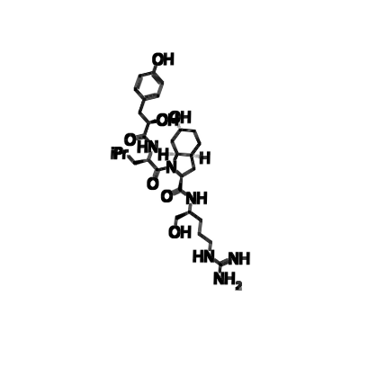 CC(C)C[C@@H](NC(=O)[C@H](O)Cc1ccc(O)cc1)C(=O)N1[C@H](C(=O)N[C@H](CO)CCCNC(=N)N)C[C@@H]2CC[C@@H](O)C[C@@H]21